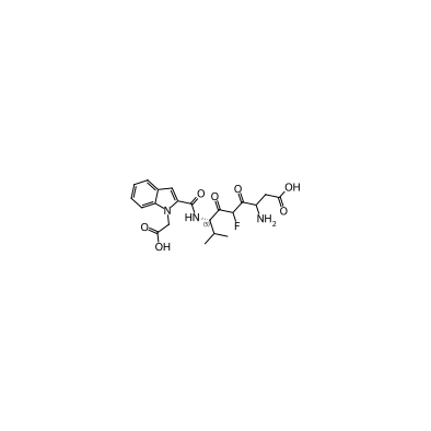 CC(C)[C@H](NC(=O)c1cc2ccccc2n1CC(=O)O)C(=O)C(F)C(=O)C(N)CC(=O)O